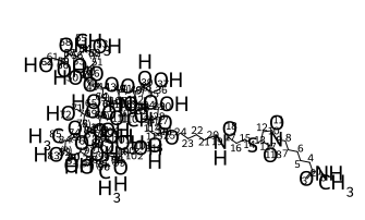 CNC(=O)CCCCCN1C(=O)CC(SCCC(=O)NCCCCCO[C@@H]2OC(CO)[C@@H](O[C@@H]3OC(CO)[C@H](O)[C@H](O[C@@H]4OC(CO[C@]5(C(=O)O)C[C@@H](O)[C@@H](C)C([C@H](O)[C@H](O)CO)O5)[C@@H](O)[C@H](O[C@@H]5OC(CO)[C@H](O[C@@H]6OC(CO)[C@H](O)[C@H](O)C6C)[C@H](O[C@@]6(C(=O)O)CC(O)[C@H](C)C([C@H](O)[C@H](O)CO)O6)C5O)C4NC(C)=O)C3O)CC2O)C1=O